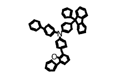 C1=CC(C2(c3ccccc3)c3ccccc3-c3ccccc32)CC=C1N(c1ccc(-c2ccccc2)cc1)c1ccc(-c2cccc3c2oc2ccccc23)cc1